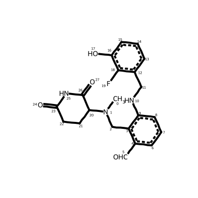 CN(Cc1c(C=O)cccc1NCc1cccc(O)c1F)C1CCC(=O)NC1=O